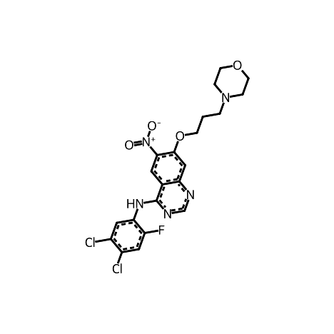 O=[N+]([O-])c1cc2c(Nc3cc(Cl)c(Cl)cc3F)ncnc2cc1OCCCN1CCOCC1